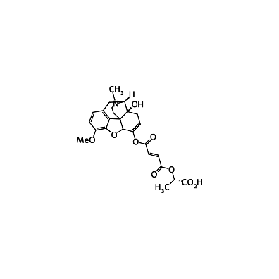 COc1ccc2c3c1OC1C(OC(=O)/C=C/C(=O)O[C@@H](C)C(=O)O)=CC[C@@]4(O)[C@@H](C2)N(C)CCC314